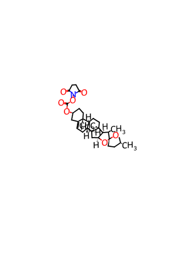 CC1[C@H]2[C@H](C[C@H]3[C@@H]4CC=C5C[C@@H](OC(=O)ON6C(=O)CCC6=O)CC[C@]5(C)[C@H]4CC[C@@]32C)O[C@]12CC[C@@H](C)CO2